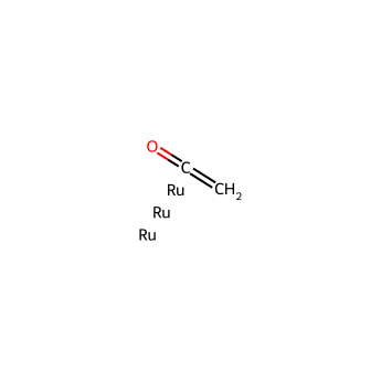 C=C=O.[Ru].[Ru].[Ru]